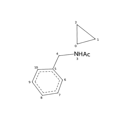 C1CC1.CC(=O)NCc1ccccc1